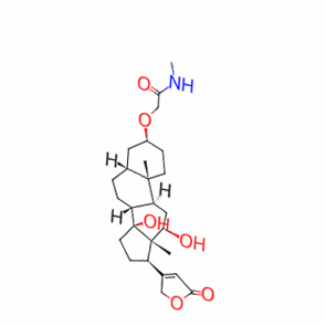 CNC(=O)CO[C@H]1CC[C@@]2(C)[C@H](CC[C@@H]3[C@@H]2C[C@@H](O)[C@]2(C)[C@@H](C4=CC(=O)OC4)CC[C@]32O)C1